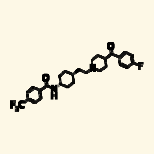 O=C(N[C@H]1CC[C@H](CCN2CCC(C(=O)c3ccc(F)cc3)CC2)CC1)c1ccc(C(F)(F)F)cc1